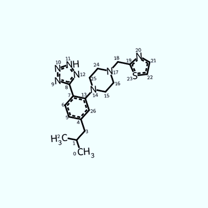 CC(C)Cc1ccc(-c2nn[nH]n2)c(N2CCN(Cc3nccs3)CC2)c1